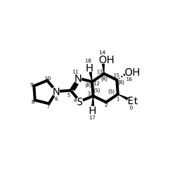 CC[C@H]1C[C@@H]2SC(N3CCCC3)=N[C@@H]2[C@@H](O)[C@@H]1O